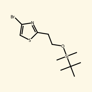 CC(C)(C)[Si](C)(C)OCCc1nc(Br)cs1